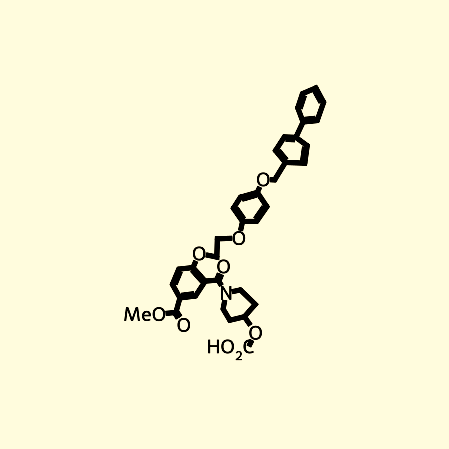 COC(=O)c1ccc(OCCOc2ccc(OCc3ccc(-c4ccccc4)cc3)cc2)c(C(=O)N2CCC(OC(=O)O)CC2)c1